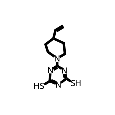 C=CC1CCN(c2nc(S)nc(S)n2)CC1